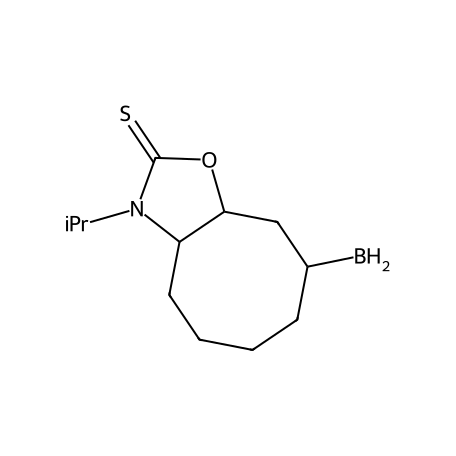 BC1CCCCC2C(C1)OC(=S)N2C(C)C